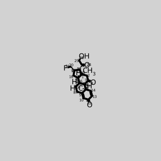 C[C@]12CC(=O)[C@H]3[C@@H](CCC4=CC(=O)C=C[C@@]43C)[C@@H]1C[C@@H](CF)[C@@H]2C(=O)CO